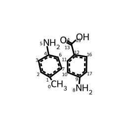 Cc1ccc(N)cc1.Nc1ccc(C(=O)O)cc1